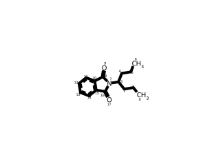 CCCC(CCC)N1C(=O)c2ccccc2C1=O